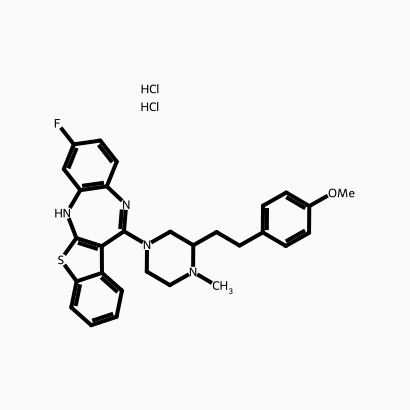 COc1ccc(CCC2CN(C3=Nc4ccc(F)cc4Nc4sc5ccccc5c43)CCN2C)cc1.Cl.Cl